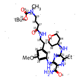 CCc1nc(C(N)=O)c(Nc2cc(CCNC(=O)CCCN(C)C(=O)OC(C)(C)C)cc(OC)c2)nc1NC1CCOCC1